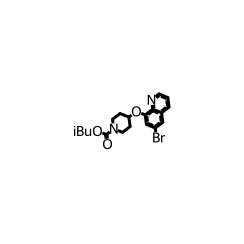 CC(C)COC(=O)N1CCC(Oc2cc(Br)cc3cccnc23)CC1